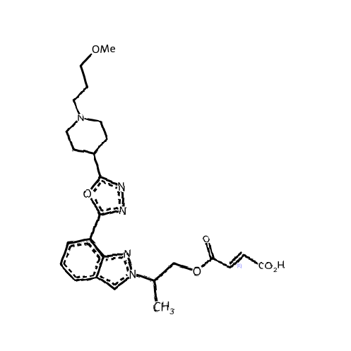 COCCCN1CCC(c2nnc(-c3cccc4cn(C(C)COC(=O)/C=C/C(=O)O)nc34)o2)CC1